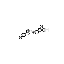 COc1ccc(-c2ccc(CCN3CCc4cc(O)c(OC)cc4C3)s2)cc1